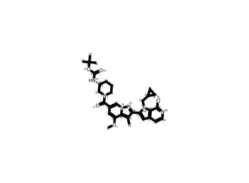 COc1cc(C(=O)N2CCC[C@@H](NC(=O)OC(C)(C)C)C2)cn2nc(-c3cc4ccnc(Cl)c4n3CC3CC3)c(C)c12